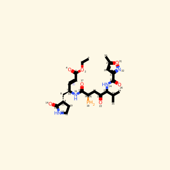 CCOC(=O)/C=C/[C@H](C[C@@H]1CCNC1=O)NC(=O)[C@H](P)CC(=O)C(NC(=O)c1cc(C)on1)C(C)C